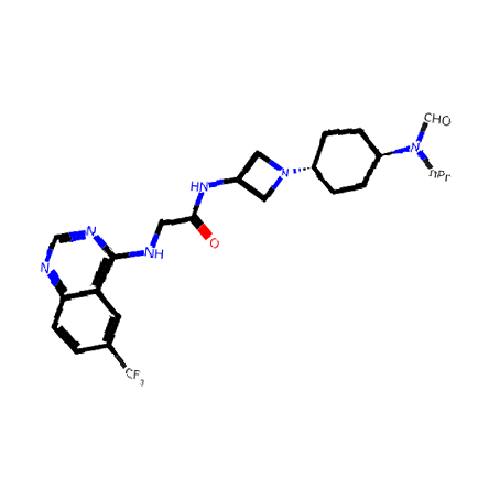 CCCN(C=O)[C@H]1CC[C@H](N2CC(NC(=O)CNc3ncnc4ccc(C(F)(F)F)cc34)C2)CC1